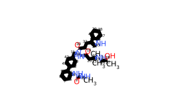 CNC(=O)Nc1ccccc1-c1ccc(CN(NC(=O)CC(C)(C)NC[C@@H](C)O)C(=O)CCc2c[nH]c3ccccc23)cc1